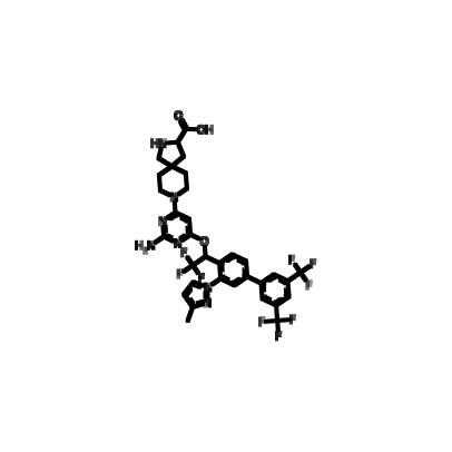 Cc1ccn(-c2cc(-c3cc(C(F)(F)F)cc(C(F)(F)F)c3)ccc2C(Oc2cc(N3CCC4(CC3)CNC(C(=O)O)C4)nc(N)n2)C(F)(F)F)n1